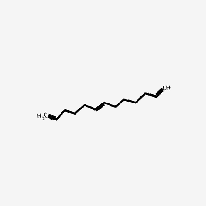 [CH]=CCCCCC=CCCCC=C